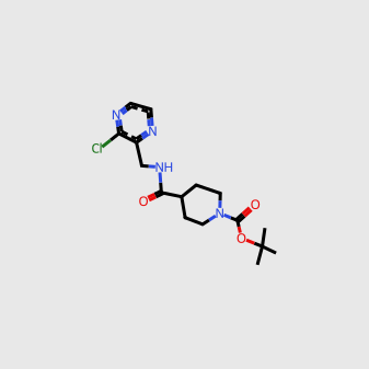 CC(C)(C)OC(=O)N1CCC(C(=O)NCc2nccnc2Cl)CC1